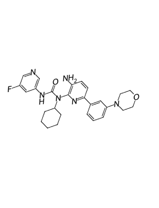 Nc1ccc(-c2cccc(N3CCOCC3)c2)nc1N(C(=O)Nc1cncc(F)c1)C1CCCCC1